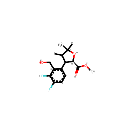 CC1C(c2ccc(F)c(F)c2CO)[C@H](C(=O)OC(C)(C)C)OC1(C)C(F)(F)F